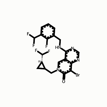 O=c1c(Br)c2ncnc(NCc3cccc(C(F)F)c3F)c2cn1CC1C[C@@H]1C(F)F